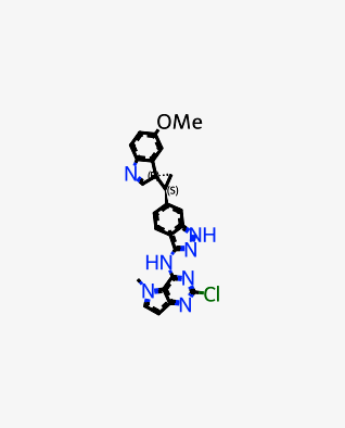 COc1ccc2c(c1)[C@@]1(C=N2)C[C@H]1c1ccc2c(Nc3nc(Cl)nc4ccn(C)c34)n[nH]c2c1